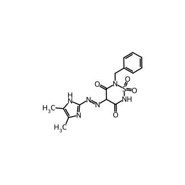 Cc1nc(N=NC2C(=O)NS(=O)(=O)N(Cc3ccccc3)C2=O)[nH]c1C